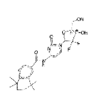 CC1(C)CCC(C)(C)c2cc(C(=O)Nc3ccn(C4O[C@H](CO)[C@@H](O)C4(F)F)c(=O)n3)ccc21